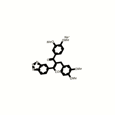 COc1ccc(CC(C(=O)c2ccc(OC)c(OC)c2)=C(C(=O)[O-])c2ccc3nsnc3c2)cc1OC.[Na+]